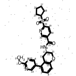 COc1ncc(-c2cccc3c2C[C@H](NC(=O)c2ccc(S(=O)(=O)C4CCCC4)nc2)CO3)cn1